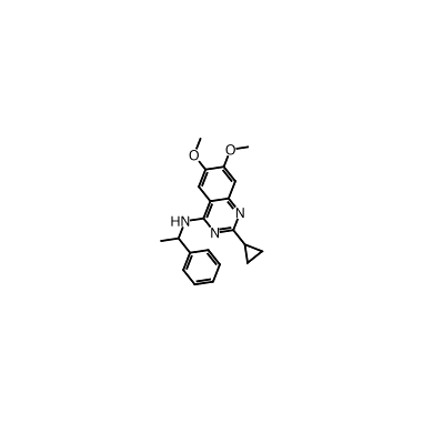 COc1cc2nc(C3CC3)nc(NC(C)c3ccccc3)c2cc1OC